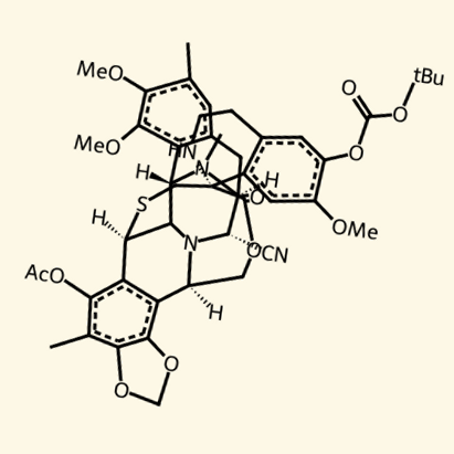 COc1cc2c(cc1OC(=O)OC(C)(C)C)CCN[C@]21CS[C@@H]2c3c(OC(C)=O)c(C)c4c(c3[C@H](COC1=O)N1C2[C@@H]2c3c(cc(C)c(OC)c3OC)C[C@@H]([C@@H]1C#N)N2C)OCO4